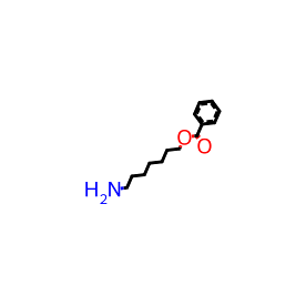 NCCCCCCCOC(=O)c1ccccc1